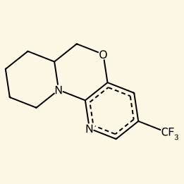 FC(F)(F)c1cnc2c(c1)OCC1CCCCN21